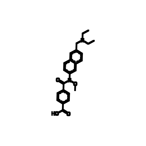 CCN(CC)Cc1ccc2cc(N(OC)C(=O)c3ccc(C(=O)O)cc3)ccc2c1